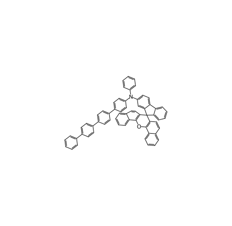 c1ccc(-c2ccc(-c3ccc(-c4ccc(N(c5ccccc5)c5ccc6c(c5)C5(c7ccccc7-6)c6ccc7ccccc7c6Oc6c5ccc5ccccc65)cc4)cc3)cc2)cc1